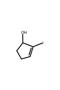 OC1CCC=C1I